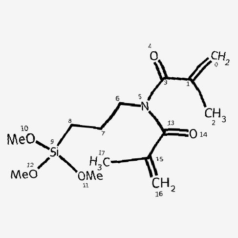 C=C(C)C(=O)N(CCC[Si](OC)(OC)OC)C(=O)C(=C)C